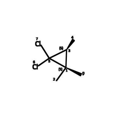 [CH2][C@]1(C)[C@H](C)C1(Cl)Cl